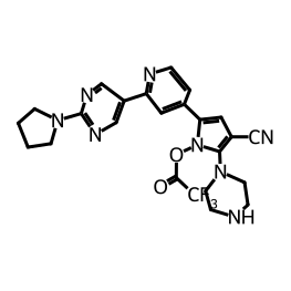 N#Cc1cc(-c2ccnc(-c3cnc(N4CCCC4)nc3)c2)n(OC(=O)C(F)(F)F)c1N1CCNCC1